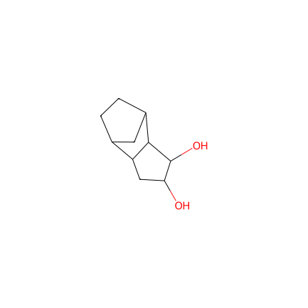 OC1CC2C3CCC(C3)C2C1O